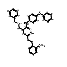 COc1ccccc1CCC(=O)NC(COCc1ccccc1)C(=O)Nc1ccc(Oc2ccccc2)cc1